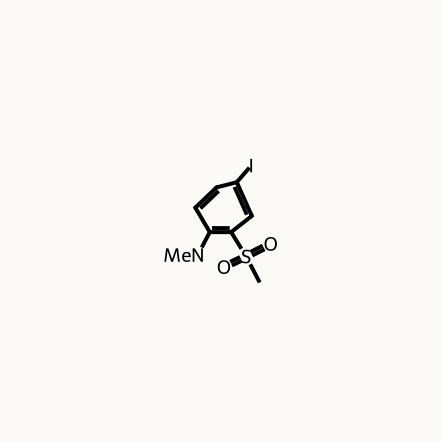 CNc1ccc(I)cc1S(C)(=O)=O